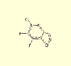 Fc1c(Cl)nc2ccoc2c1I